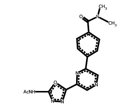 CC(=O)Nc1nnc(-c2cncc(-c3ccc(C(=O)N(C)C)cc3)n2)o1